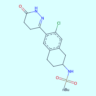 CCCCS(=O)(=O)NC1CCc2cc(C3=NNC(=O)CC3)c(Cl)cc2C1